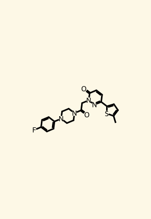 Cc1ccc(-c2ccc(=O)n(CC(=O)N3CCN(c4ccc(F)cc4)CC3)n2)s1